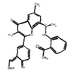 CN/C=C1/C=C(c2oc3c([C@@H](C)Nc4ccccc4C(=O)OC)cc(C)cc3c(=O)c2C)C=CC1=N